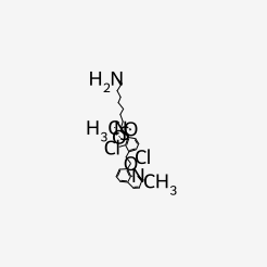 Cc1ccc2cccc(OCc3c(Cl)ccc(S(=O)(=O)N(C)CCCCCCCN)c3Cl)c2n1